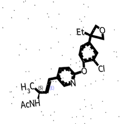 CCC1(c2ccc(Oc3ccc(/C=C/[C@H](C)NC(C)=O)cn3)c(Cl)c2)COC1